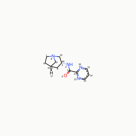 O=C(N[C@@H]1C[C@@H]2CCN(C2)C1)c1ncccn1